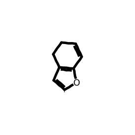 [c]1cc2c(o1)C=CCC2